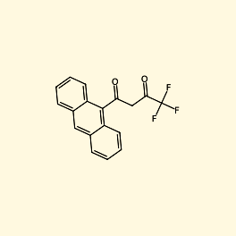 O=C(CC(=O)C(F)(F)F)c1c2ccccc2cc2ccccc12